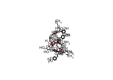 CN[C@H](CC(C)C)C(=O)N[C@H]1C(=O)N[C@@H](CC(N)=O)C(=O)N[C@H]2C(=O)N[C@H]3C(=O)N[C@H](C(=O)N[C@@H](C(=O)NOCCOC)c4cc(O)cc(O)c4-c4cc3ccc4O)[C@H](O)c3ccc(c(Cl)c3)Oc3cc2cc(c3O[C@@H]2O[C@H](CO)[C@@H](O)[C@H](O)[C@H]2O[C@H]2C[C@](C)(NCCn3ccc(NC(=O)Cc4ccc(OC(F)(F)F)cc4)nc3=O)[C@H](O)[C@H](C)O2)Oc2ccc(cc2Cl)[C@H]1O